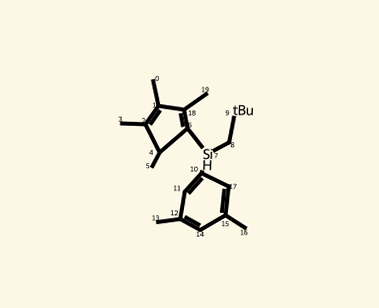 CC1=C(C)C(C)C([SiH](CC(C)(C)C)c2cc(C)cc(C)c2)=C1C